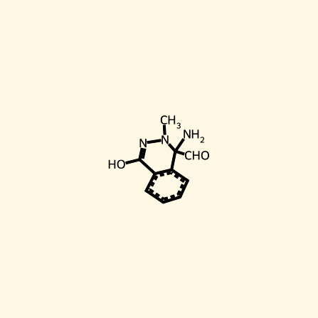 CN1N=C(O)c2ccccc2C1(N)C=O